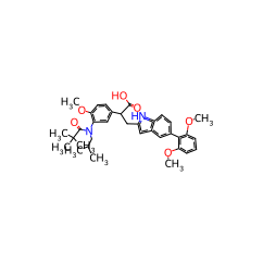 COc1ccc(C(Cc2cc3cc(-c4c(OC)cccc4OC)ccc3[nH]2)C(=O)O)cc1N(CC(C)C)C(=O)C(C)(C)C